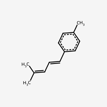 CC(C)=CC=Cc1ccc(C)cc1